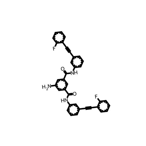 Nc1cc(C(=O)Nc2cccc(C#Cc3ccccc3F)c2)cc(C(=O)Nc2cccc(C#Cc3ccccc3F)c2)c1